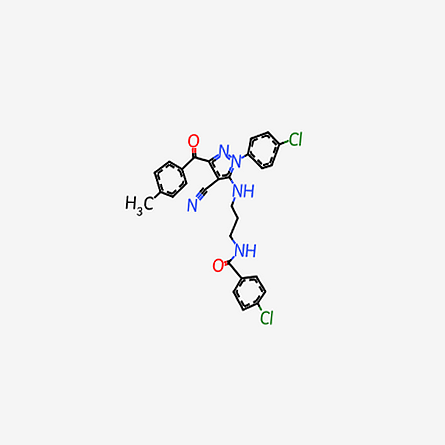 Cc1ccc(C(=O)c2nn(-c3ccc(Cl)cc3)c(NCCCNC(=O)c3ccc(Cl)cc3)c2C#N)cc1